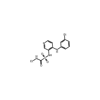 CCNC(=O)S(=O)(=O)Nc1cnccc1Nc1cccc(CC)c1